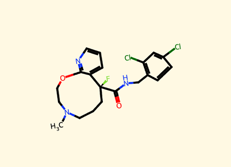 CN1CCC[C@@](F)(C(=O)NCc2ccc(Cl)cc2Cl)c2cccnc2OCC1